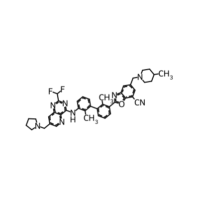 Cc1c(Nc2nc(C(F)F)nc3cc(CN4CCCC4)cnc23)cccc1-c1cccc(-c2nc3cc(CN4CCC(C)CC4)cc(C#N)c3o2)c1C